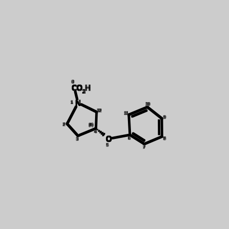 O=C(O)N1CC[C@@H](Oc2ccccc2)C1